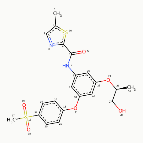 Cc1cnc(C(=O)Nc2cc(Oc3ccc(S(C)(=O)=O)cc3)cc(O[C@@H](C)CO)c2)s1